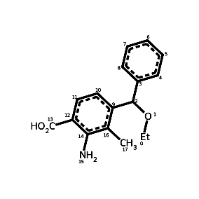 CCOC(c1ccccc1)c1ccc(C(=O)O)c(N)c1C